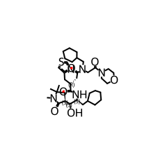 CN1C(=O)[C@H]([C@H](O)[C@H](CC2CCCCC2)NC(=O)[C@@H](CC(=O)N(CC(=O)N2CCOCC2)CC2CCCCC2)Cc2cscn2)CC1(C)C